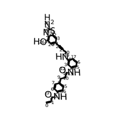 C=CC(=O)Nc1ccc(CCC(=O)Nc2cccc(NCC#Cc3cc(O)c4nc(N)sc4c3)c2)cc1